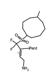 CCCC(C)/C(=C\CN)C(F)(F)S(=O)(=O)C1CCCCC(C)CCC1